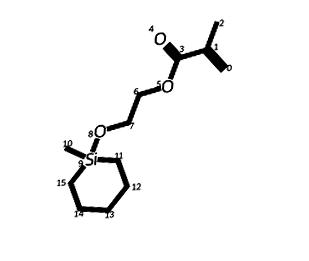 C=C(C)C(=O)OCCO[Si]1(C)CCCCC1